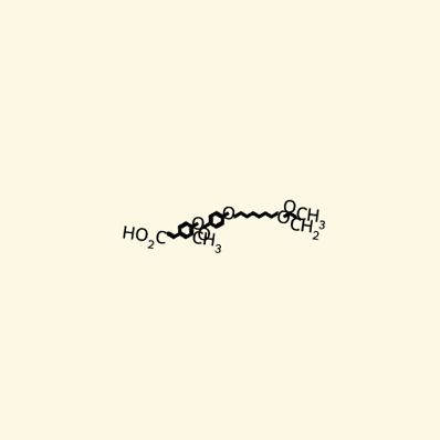 C=C(C)C(=O)OCCCCCCCCOc1ccc(C(=O)Oc2ccc(/C=C/C(=O)O)cc2C)cc1